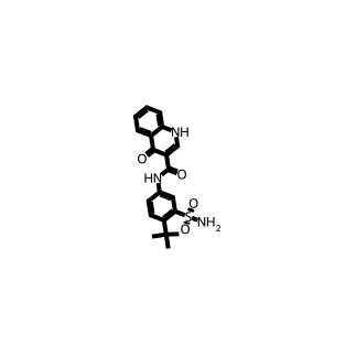 CC(C)(C)c1ccc(NC(=O)c2c[nH]c3ccccc3c2=O)cc1S(N)(=O)=O